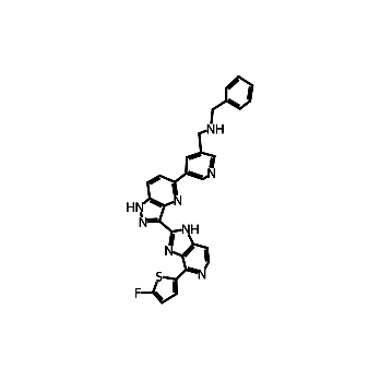 Fc1ccc(-c2nccc3[nH]c(-c4n[nH]c5ccc(-c6cncc(CNCc7ccccc7)c6)nc45)nc23)s1